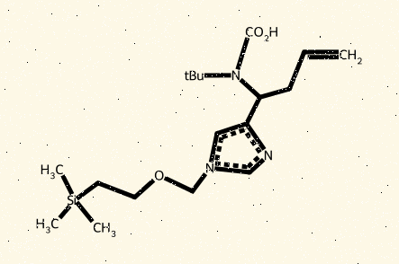 C=CCC(c1cn(COCC[Si](C)(C)C)cn1)N(C(=O)O)C(C)(C)C